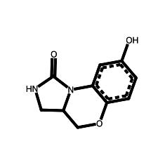 O=C1NCC2COc3ccc(O)cc3N12